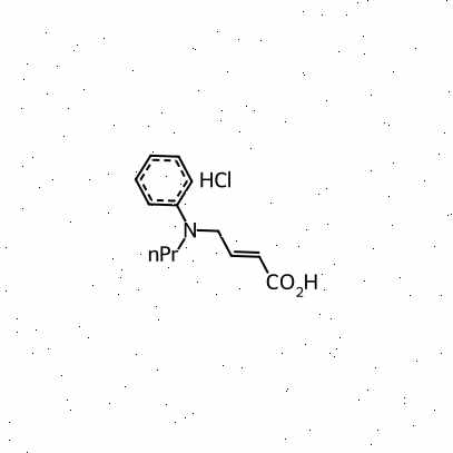 CCCN(C/C=C/C(=O)O)c1ccccc1.Cl